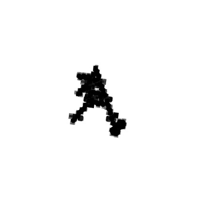 CCCCCC(NC(=O)CCCCCNC(=O)CCCCCNC(=O)OCC1c2ccccc2-c2ccccc21)C(=O)NC(CCCCC)C(=O)NC(CCCCC)C(=O)NC(CCCCC)C(=O)NC(CCCCC)C(=O)NCCCCCC(=O)NCC